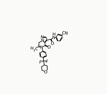 C[C@H]1Cn2ncc(C(=O)Nc3cccc(C#N)c3)c2C(=O)N1c1ccc(C(F)(F)C2CCOCC2)cc1